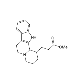 COC(=O)CCC1CCCN2CCc3c([nH]c4ccccc34)C12